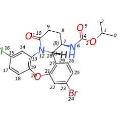 CC(C)OC(=O)N[C@@H]1CCC(=O)N2c3cc(Cl)ccc3Oc3cc(Br)ccc3[C@@H]12